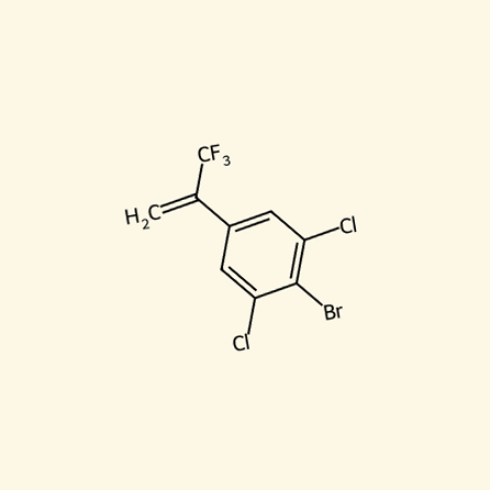 C=C(c1cc(Cl)c(Br)c(Cl)c1)C(F)(F)F